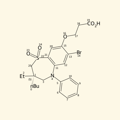 CCCC[C@@]1(CC)CN(c2ccccc2)c2cc(Br)c(OCCC(=O)O)cc2S(=O)(=O)C1